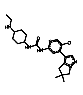 CCNC1CCC(NC(=O)Nc2cc(-c3cnn4c3CC(C)(C)C4)c(Cl)cn2)CC1